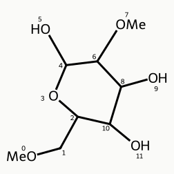 COCC1OC(O)C(OC)C(O)C1O